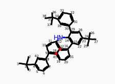 CC(C)(C)c1cccc(-c2ccc(Nc3c(-c4ccccc4)cc(C(C)(C)C)cc3-c3cccc(C(C)(C)C)c3)cc2)c1